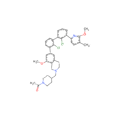 [CH2]c1ccc(-c2cccc(-c3cccc(-c4cc5c(c(OC)c4)CN(CC4CCN(C(C)=O)CC4)CC5)c3Cl)c2Cl)nc1OC